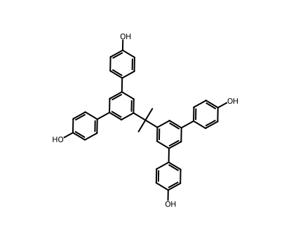 CC(C)(c1cc(-c2ccc(O)cc2)cc(-c2ccc(O)cc2)c1)c1cc(-c2ccc(O)cc2)cc(-c2ccc(O)cc2)c1